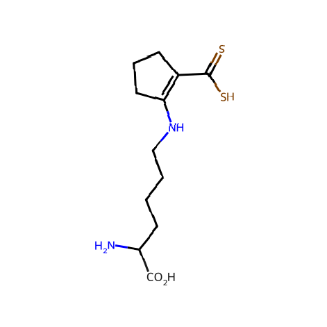 NC(CCCCNC1=C(C(=S)S)CCC1)C(=O)O